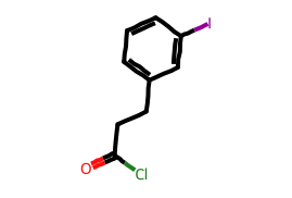 O=C(Cl)CCc1cccc(I)c1